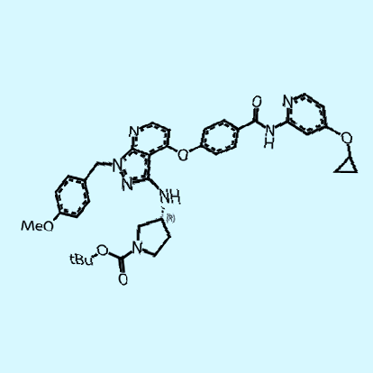 COc1ccc(Cn2nc(N[C@@H]3CCN(C(=O)OC(C)(C)C)C3)c3c(Oc4ccc(C(=O)Nc5cc(OC6CC6)ccn5)cc4)ccnc32)cc1